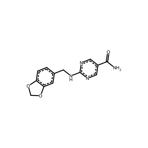 NC(=O)c1cnc(NCc2ccc3c(c2)OCO3)nc1